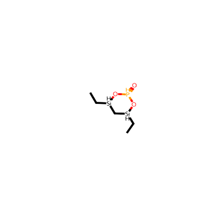 CC[SiH]1C[SiH](CC)O[PH](=O)O1